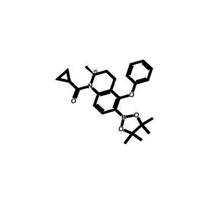 C[C@H]1CCc2c(ccc(B3OC(C)(C)C(C)(C)O3)c2Oc2ccccc2)N1C(=O)C1CC1